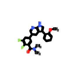 COc1ccccc1-c1c[nH]c2ncc(-c3cc(F)c(F)c(C(=O)N(C)C)c3)cc12